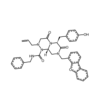 C=CCN1CC(=O)N2[C@@H](Cc3ccc(O)cc3)C(=O)N(Cc3cccc4c3oc3ccccc34)C[C@@H]2N1C(=O)NCc1ccccc1